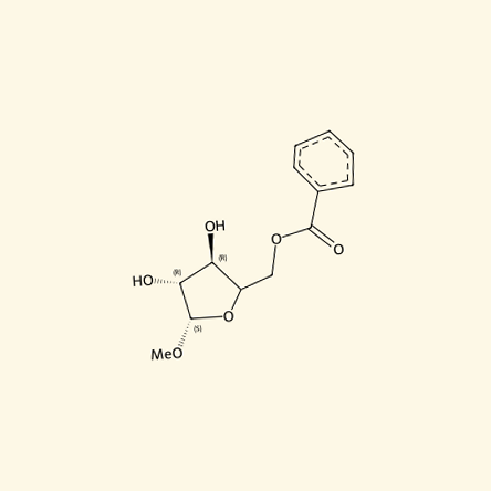 CO[C@H]1OC(COC(=O)c2ccccc2)[C@H](O)[C@H]1O